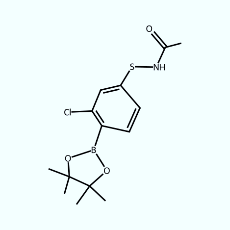 CC(=O)NSc1ccc(B2OC(C)(C)C(C)(C)O2)c(Cl)c1